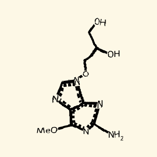 COc1nc(N)nc2c1ncn2OCC(O)CO